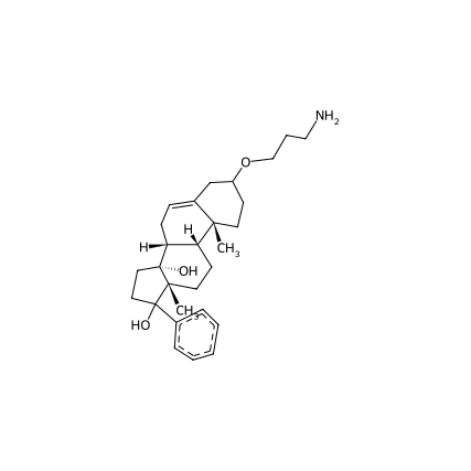 C[C@]12CCC(OCCCN)CC1=CC[C@@H]1[C@H]2CC[C@]2(C)C(O)(c3ccccc3)CC[C@@]12O